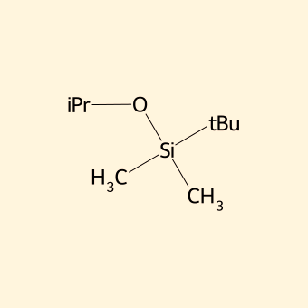 [CH2]C(C)O[Si](C)(C)C(C)(C)C